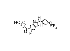 CN(CC(=O)O)C(=O)c1cc2nc(Nc3ccc(OC(F)(F)F)cc3)[nH]c2cc1F